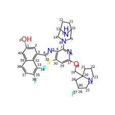 Oc1cc(-c2nc3c(N4CC5CCC(C4)N5)nc(OCC45CCCN4C[C@H](F)C5)cc3s2)c2c(F)c(F)ccc2c1